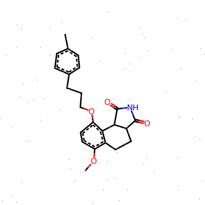 COc1ccc(OCCCc2ccc(C)cc2)c2c1CCC1C(=O)NC(=O)C21